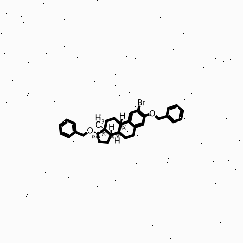 C[C@]12CC[C@@H]3c4cc(Br)c(OCc5ccccc5)cc4CC[C@H]3[C@@H]1CC[C@@H]2OCc1ccccc1